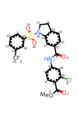 COC(=O)c1ccc(NC(=O)c2ccc3c(c2)N(S(=O)(=O)c2cccc(C(F)(F)F)c2)CC3)cc1Cl